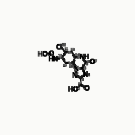 O=C(O)c1nc2c(=O)[nH]c3cc(Cl)c(NOO)cc3n2n1